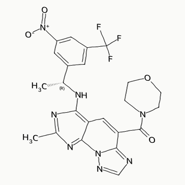 Cc1nc(N[C@H](C)c2cc([N+](=O)[O-])cc(C(F)(F)F)c2)c2cc(C(=O)N3CCOCC3)c3ncnn3c2n1